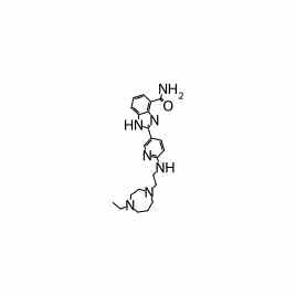 CCN1CCCN(CCNc2ccc(-c3nc4c(C(N)=O)cccc4[nH]3)cn2)CC1